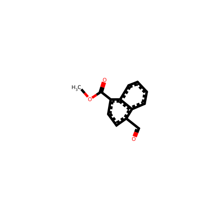 COC(=O)c1ccc(C=O)c2ccccc12